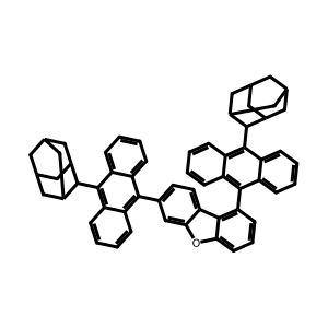 c1cc(-c2c3ccccc3c(C3C4CC5CC(C4)CC3C5)c3ccccc23)c2c(c1)oc1cc(-c3c4ccccc4c(C4C5CC6CC(C5)CC4C6)c4ccccc34)ccc12